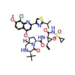 C=C[C@@H]1C[C@]1(NC(=O)[C@@H]1C[C@@H](Oc2cc(-c3csc(C(C)C)n3)nc3c(Cl)c(OC)ccc23)[C@H]2CN[C@H](C(C)(C)C)C(=O)N21)C(=O)NS(=O)(=O)C1CC1